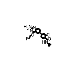 Nc1nc(OCCF)c2cc(-c3ccc(C(=O)NC4CC4)c(Cl)c3)ccc2n1